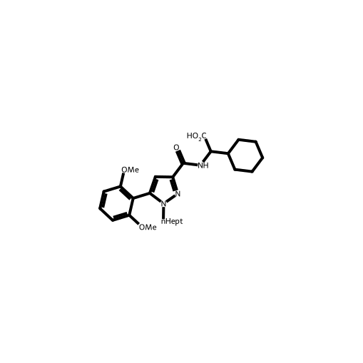 CCCCCCCn1nc(C(=O)NC(C(=O)O)C2CCCCC2)cc1-c1c(OC)cccc1OC